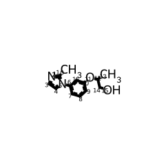 Cc1nccn1-c1cccc(OC(C)CO)c1